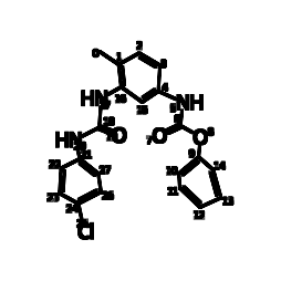 Cc1ccc(NC(=O)Oc2ccccc2)cc1NC(=O)Nc1ccc(Cl)cc1